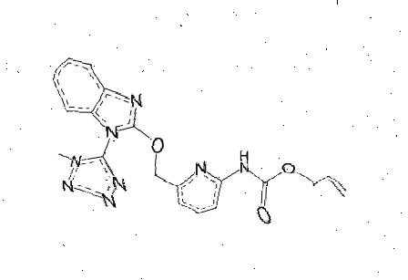 C=CCOC(=O)Nc1cccc(COc2nc3ccccc3n2-c2nnnn2C)n1